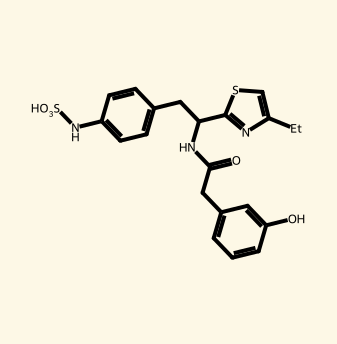 CCc1csc(C(Cc2ccc(NS(=O)(=O)O)cc2)NC(=O)Cc2cccc(O)c2)n1